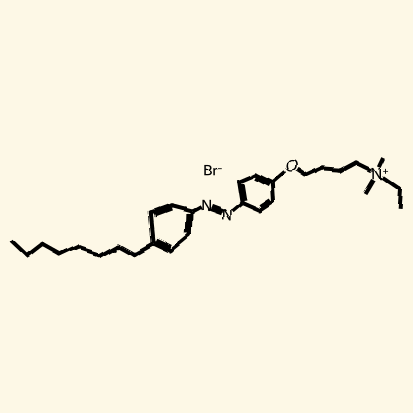 CCCCCCCCc1ccc(N=Nc2ccc(OCCCC[N+](C)(C)CC)cc2)cc1.[Br-]